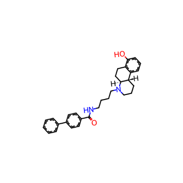 O=C(NCCCCN1CCC[C@H]2c3cccc(O)c3CC[C@@H]21)c1ccc(-c2ccccc2)cc1